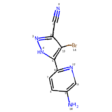 N#Cc1n[nH]c(-c2ccc(N)cn2)c1Br